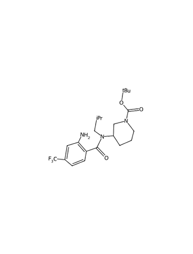 CC(C)CN(C(=O)c1ccc(C(F)(F)F)cc1N)C1CCCN(C(=O)OC(C)(C)C)C1